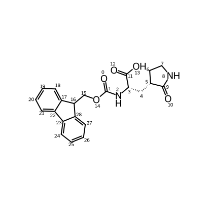 O=C(N[C@@H](C[C@@H]1CCNC1=O)C(=O)O)OCC1c2ccccc2-c2ccccc21